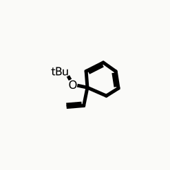 C=CC1(OC(C)(C)C)C=CC=CC1